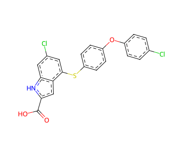 O=C(O)c1cc2c(Sc3ccc(Oc4ccc(Cl)cc4)cc3)cc(Cl)cc2[nH]1